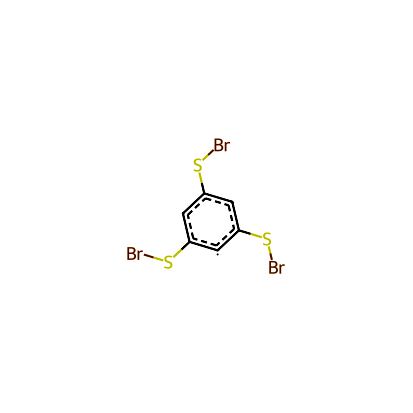 BrSc1[c]c(SBr)cc(SBr)c1